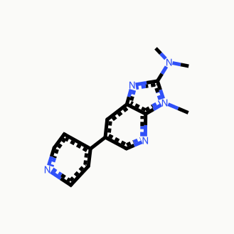 CN(C)c1nc2cc(-c3ccncc3)cnc2n1C